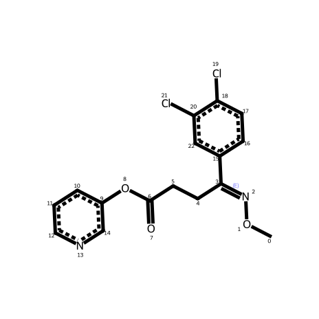 CO/N=C(\CCC(=O)Oc1cccnc1)c1ccc(Cl)c(Cl)c1